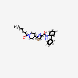 C/C=C/CCC(=O)N1CCC(c2nc(C(=O)Nc3ccccc3-c3ccccc3)cs2)CC1